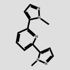 Cn1nccc1-c1cccc(-c2ccnn2C)n1